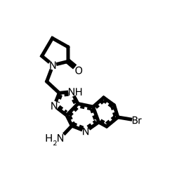 Nc1nc2cc(Br)ccc2c2[nH]c(CN3CCCC3=O)nc12